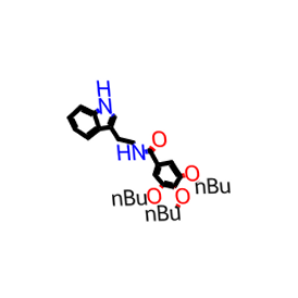 CCCCOc1cc(C(=O)NCCc2c[nH]c3ccccc23)cc(OCCCC)c1OCCCC